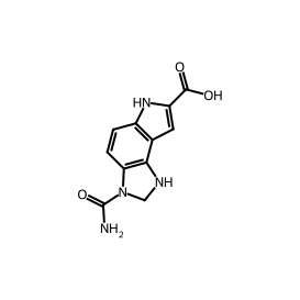 NC(=O)N1CNc2c1ccc1[nH]c(C(=O)O)cc21